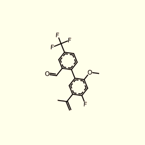 C=C(C)c1cc(-c2ccc(C(F)(F)F)cc2C=O)c(OC)cc1F